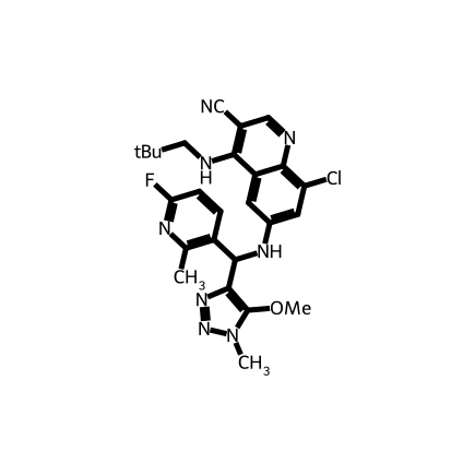 COc1c(C(Nc2cc(Cl)c3ncc(C#N)c(NCC(C)(C)C)c3c2)c2ccc(F)nc2C)nnn1C